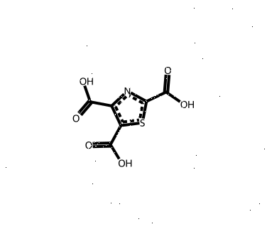 O=C(O)c1nc(C(=O)O)c(C(=O)O)s1